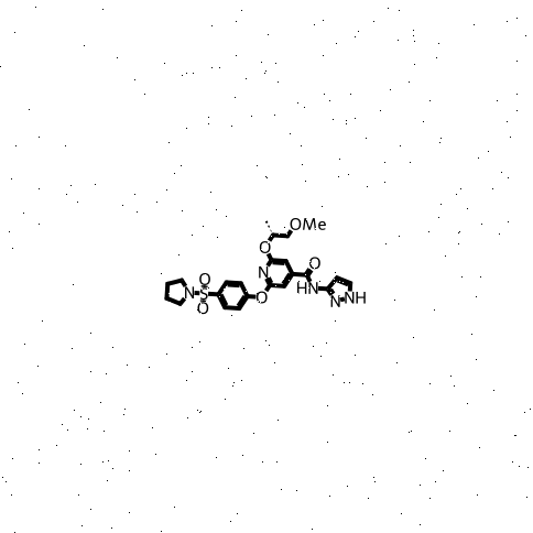 COC[C@@H](C)Oc1cc(C(=O)Nc2cc[nH]n2)cc(Oc2ccc(S(=O)(=O)N3CCCC3)cc2)n1